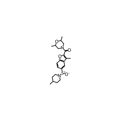 Cc1c(C(=O)N2CC(C)OC(C)C2)oc2ccc([S+]([O-])N3CCC(C)CC3)cc12